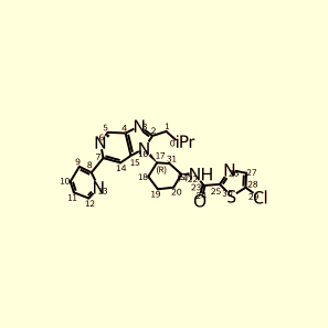 CC(C)Cc1nc2cnc(-c3ccccn3)cc2n1[C@@H]1CCC[C@H](NC(=O)c2ncc(Cl)s2)C1